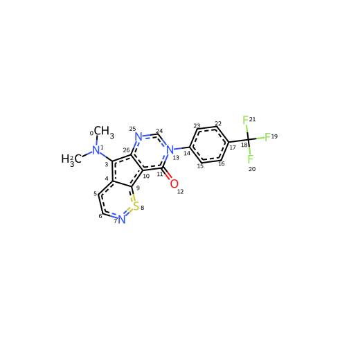 CN(C)c1c2ccnsc-2c2c(=O)n(-c3ccc(C(F)(F)F)cc3)cnc12